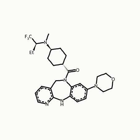 CC[C@H](N(C)[C@H]1CC[C@H](C(=O)N2Cc3cccnc3Nc3ccc(N4CCOCC4)cc32)CC1)C(F)(F)F